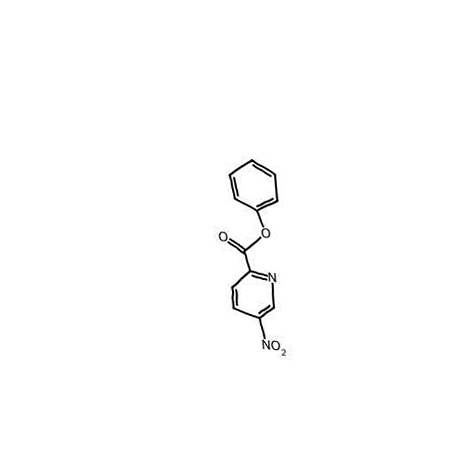 O=C(Oc1ccccc1)c1ccc([N+](=O)[O-])cn1